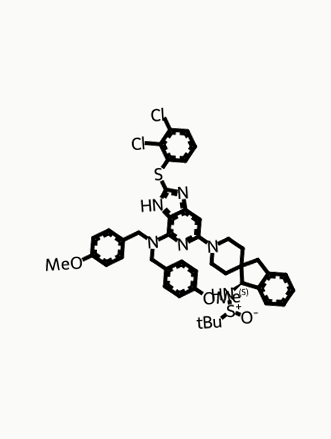 COc1ccc(CN(Cc2ccc(OC)cc2)c2nc(N3CCC4(CC3)Cc3ccccc3[C@H]4N[S+]([O-])C(C)(C)C)cc3nc(Sc4cccc(Cl)c4Cl)[nH]c23)cc1